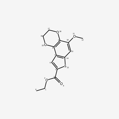 CCOC(=O)c1cc2c3c(c(OC)cc2s1)OCCO3